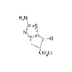 CCOC(=O)C1Cc2nc(N)sc2C1=O